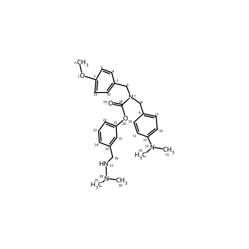 COc1ccc(CN(Cc2ccc(N(C)C)cc2)C(=O)Oc2cccc(CNN(C)C)c2)cc1